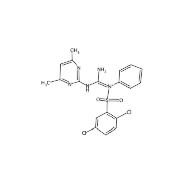 Cc1cc(C)nc(NC(N)=[N+](c2ccccc2)S(=O)(=O)c2cc(Cl)ccc2Cl)n1